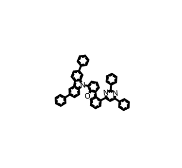 c1ccc(-c2ccc3c(c2)c2ccc(-c4ccccc4)cc2n3-c2cccc3c2oc2cccc(-c4cc(-c5ccccc5)nc(-c5ccccc5)n4)c23)cc1